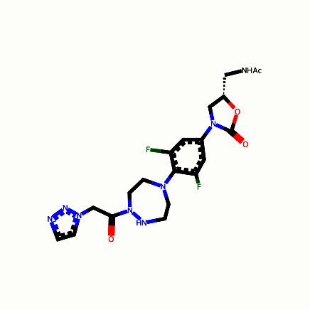 CC(=O)NC[C@H]1CN(c2cc(F)c(N3CCNN(C(=O)Cn4ccnn4)CC3)c(F)c2)C(=O)O1